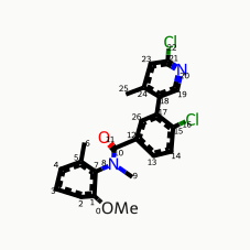 COc1cccc(C)c1N(C)C(=O)c1ccc(Cl)c(-c2cnc(Cl)cc2C)c1